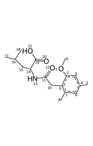 COc1cc(C)cc(C)c1CC(=O)NC(CC(C)C)C(=O)O